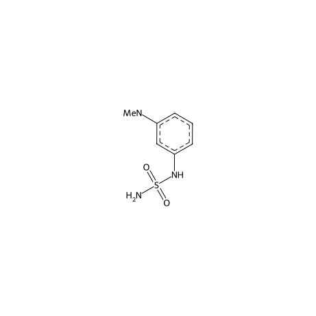 CNc1cccc(NS(N)(=O)=O)c1